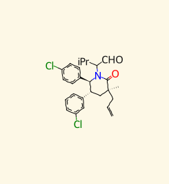 C=CC[C@@]1(C)C[C@H](c2cccc(Cl)c2)[C@@H](c2ccc(Cl)cc2)N(C(C=O)C(C)C)C1=O